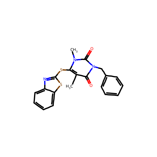 Cc1c(Sc2nc3ccccc3s2)n(C)c(=O)n(Cc2ccccc2)c1=O